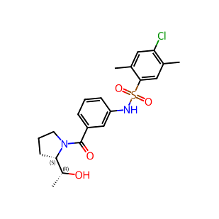 Cc1cc(S(=O)(=O)Nc2cccc(C(=O)N3CCC[C@H]3[C@@H](C)O)c2)c(C)cc1Cl